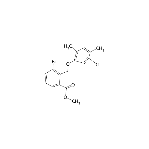 COC(=O)c1cccc(Br)c1COc1cc(Cl)c(C)cc1C